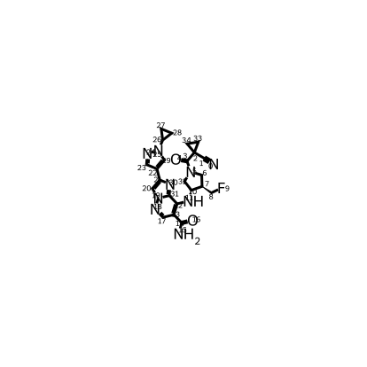 N#CC1(C(=O)N2C[C@@H](CF)[C@H](Nc3c(C(N)=O)cnn4cc(-c5cnn(C6CC6)c5)nc34)C2)CC1